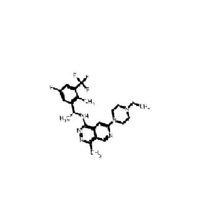 CCN1CCN(c2cc3c(N[C@H](C)c4cc(F)cc(C(F)(F)F)c4C)nnc(C)c3cn2)CC1